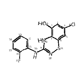 Oc1cc(Cl)cc2c1NC(Nc1ccccc1F)=NS2